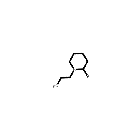 OCCN1CCCCC1F